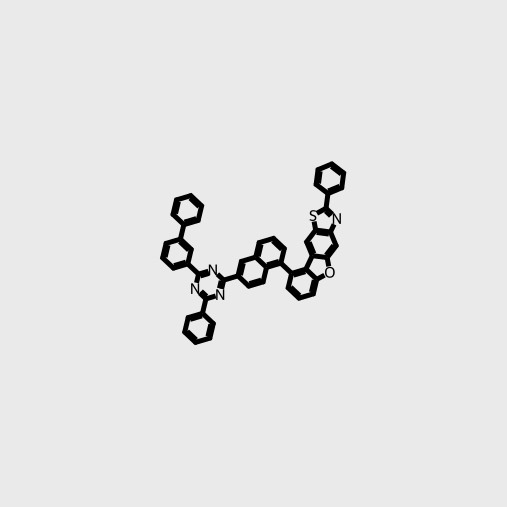 c1ccc(-c2cccc(-c3nc(-c4ccccc4)nc(-c4ccc5c(-c6cccc7oc8cc9nc(-c%10ccccc%10)sc9cc8c67)cccc5c4)n3)c2)cc1